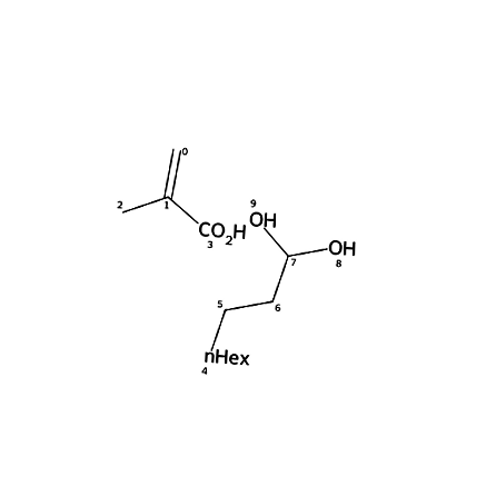 C=C(C)C(=O)O.CCCCCCCCC(O)O